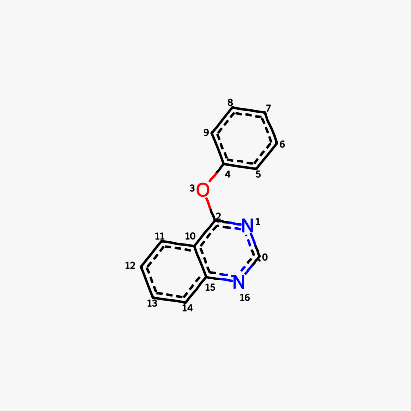 [c]1nc(Oc2ccccc2)c2ccccc2n1